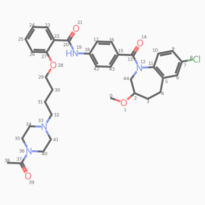 COC1CCc2cc(Cl)ccc2N(C(=O)c2ccc(NC(=O)c3ccccc3OCCCCN3CCN(C(C)=O)CC3)cc2)C1